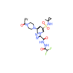 CC(C)C(=O)N1CCN(c2cc(S(=O)(=O)NC3(C)CC3)cn3c(C(=O)NNC(=O)C(F)F)nnc23)CC1